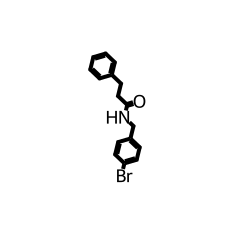 O=C(CCc1ccccc1)NCc1ccc(Br)cc1